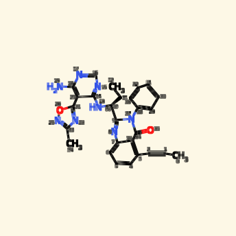 CC#Cc1cccc2nc([C@H](CC)Nc3ncnc(N)c3-c3nc(C)no3)n(-c3ccccc3)c(=O)c12